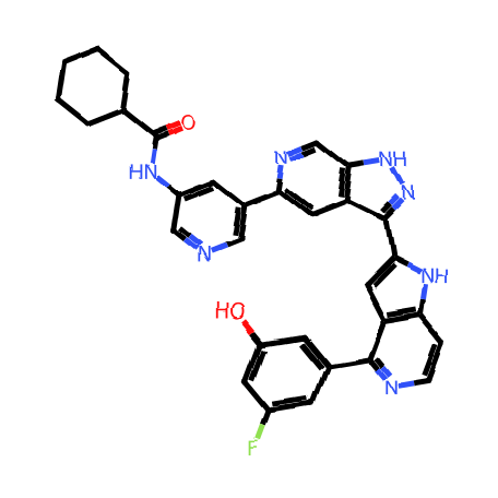 O=C(Nc1cncc(-c2cc3c(-c4cc5c(-c6cc(O)cc(F)c6)nccc5[nH]4)n[nH]c3cn2)c1)C1CCCCC1